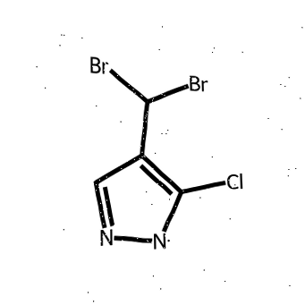 ClC1=C(C(Br)Br)C=N[N]1